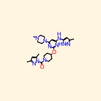 Cc1cc(Nc2cc(N3CCN(C)CC3)nc(OC3CCN(C(=O)n4nc(C)cc4C)CC3)n2)[nH]n1